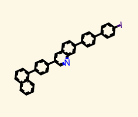 Ic1ccc(-c2ccc(-c3ccc4cc(-c5ccc(-c6cccc7ccccc67)cc5)cnc4c3)cc2)cc1